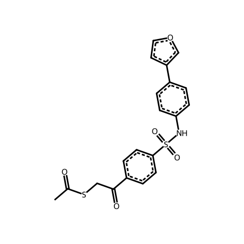 CC(=O)SCC(=O)c1ccc(S(=O)(=O)Nc2ccc(-c3ccoc3)cc2)cc1